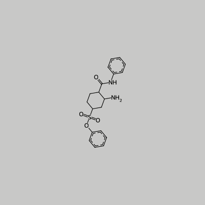 NC1CC(S(=O)(=O)Oc2ccccc2)CCC1C(=O)Nc1ccccc1